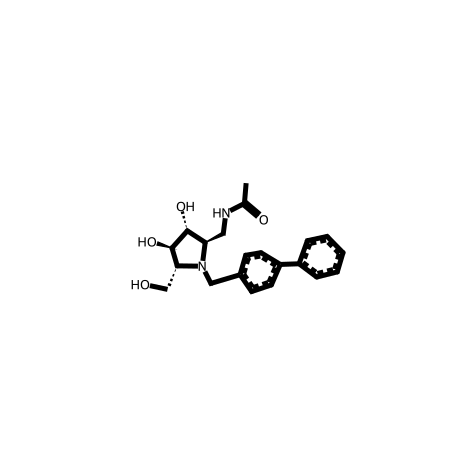 CC(=O)NC[C@@H]1[C@@H](O)[C@H](O)[C@@H](CO)N1Cc1ccc(-c2ccccc2)cc1